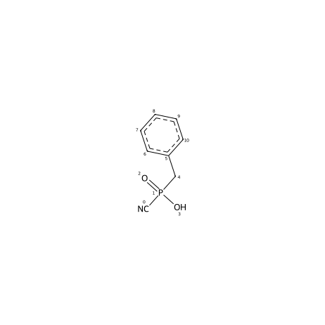 N#CP(=O)(O)Cc1ccccc1